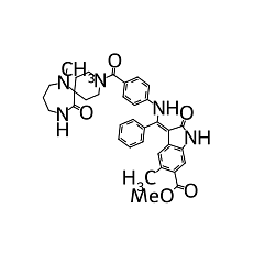 COC(=O)c1cc2c(cc1C)/C(=C(/Nc1ccc(C(=O)N3CCC4(CC3)C(=O)NCCCN4C)cc1)c1ccccc1)C(=O)N2